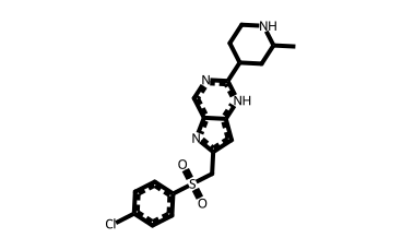 CC1CC(c2ncc3nc(CS(=O)(=O)c4ccc(Cl)cc4)cc-3[nH]2)CCN1